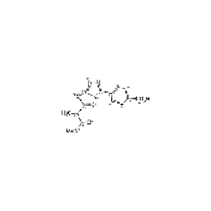 CNC(=O)N(C)c1nn2c(-c3ccc(C(=O)O)cc3)cnc2s1